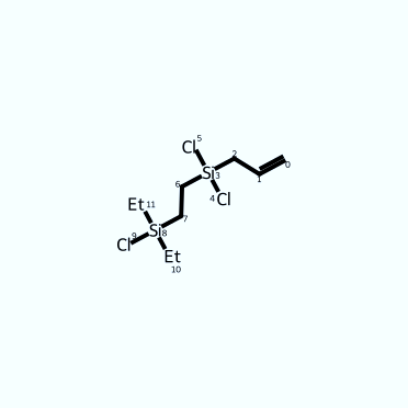 C=CC[Si](Cl)(Cl)CC[Si](Cl)(CC)CC